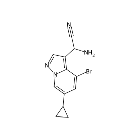 N#CC(N)c1cnn2cc(C3CC3)cc(Br)c12